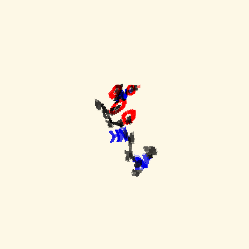 CC(CC(=O)NCCN(C)C)O[N+](=O)[O-]